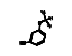 [2H]C([2H])([2H])Oc1cccc(O)c1